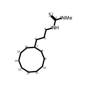 CNC(=S)NCCCC1CCCCCCCCC1